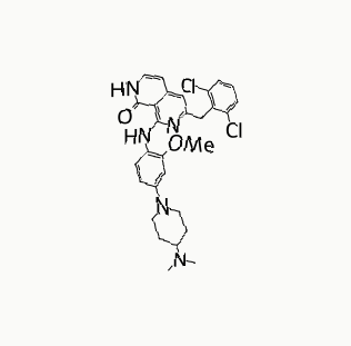 COc1cc(N2CCC(N(C)C)CC2)ccc1Nc1nc(Cc2c(Cl)cccc2Cl)cc2cc[nH]c(=O)c12